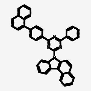 c1ccc(-c2nc(-c3ccc(-c4cccc5ccccc45)cc3)nc(-n3c4ccccc4c4c5ccccc5ccc43)n2)cc1